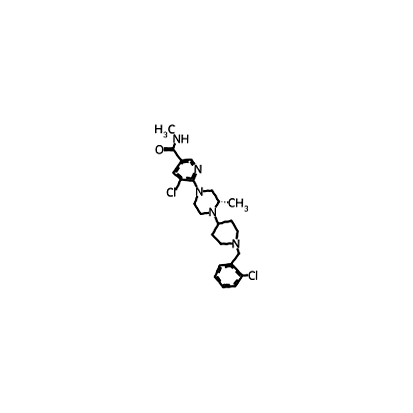 CNC(=O)c1cnc(N2CCN(C3CCN(Cc4ccccc4Cl)CC3)[C@@H](C)C2)c(Cl)c1